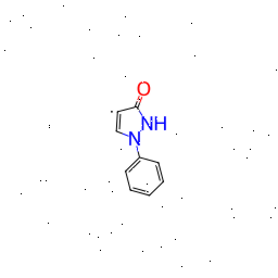 O=c1[c]cn(-c2ccccc2)[nH]1